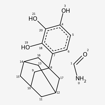 NC=O.Oc1ccc(C23CC4CC(CC(C4)C2)C3)c(O)c1O